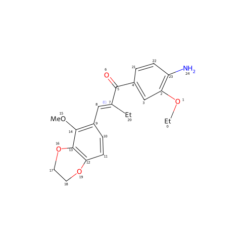 CCOc1cc(C(=O)/C(=C/c2ccc3c(c2OC)OCCO3)CC)ccc1N